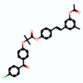 CC(=O)Oc1cc(C)cc(/C=C/c2ccc(OC(=O)C(C)(C)Oc3ccc(C(=O)c4ccc(Cl)cc4)cc3)cc2)c1